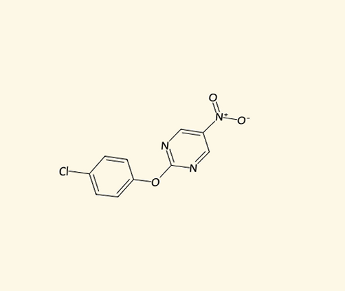 O=[N+]([O-])c1cnc(Oc2ccc(Cl)cc2)nc1